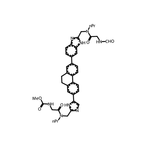 CCCN(Cc1ncc(-c2ccc3c(c2)CCc2cc(-c4ccc5nc(CN(CCC)C(=O)CNC=O)[nH]c5c4)ccc2-3)[nH]1)C(=O)CNC(=O)OC